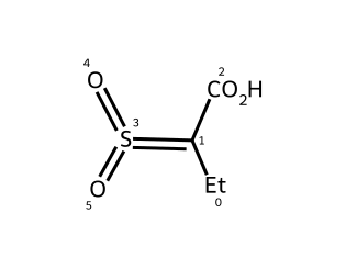 CCC(C(=O)O)=S(=O)=O